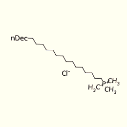 CCCCCCCCCCCCCCCCCCCCCCCCC[P+](C)(C)C.[Cl-]